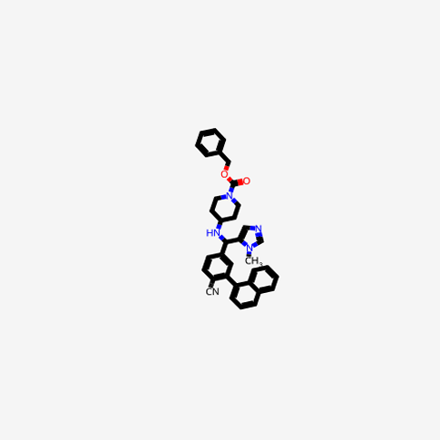 Cn1cncc1C(NC1CCN(C(=O)OCc2ccccc2)CC1)c1ccc(C#N)c(-c2cccc3ccccc23)c1